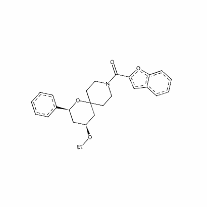 CCO[C@H]1C[C@@H](c2ccccc2)OC2(CCN(C(=O)c3cc4ccccc4o3)CC2)C1